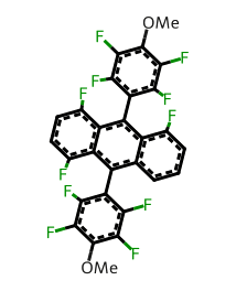 COc1c(F)c(F)c(-c2c3cccc(F)c3c(-c3c(F)c(F)c(OC)c(F)c3F)c3c(F)ccc(F)c23)c(F)c1F